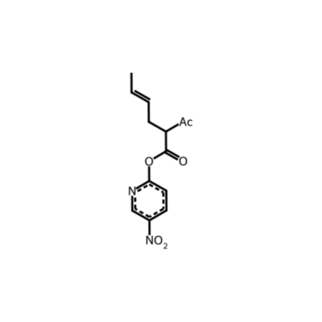 CC=CCC(C(C)=O)C(=O)Oc1ccc([N+](=O)[O-])cn1